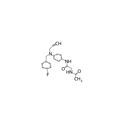 C#CCN(Cc1ccc(F)cc1)c1ccc(NC(=O)CNC(C)=O)cc1